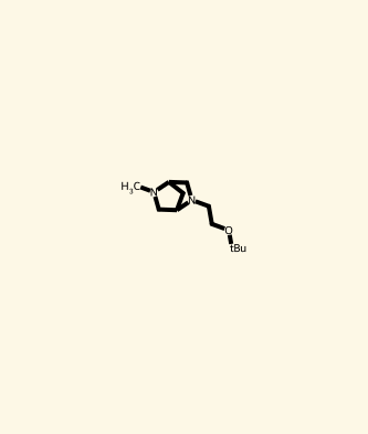 CN1CC2CC1CN2CCOC(C)(C)C